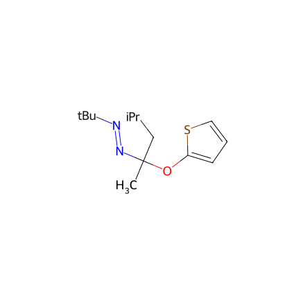 CC(C)CC(C)(N=NC(C)(C)C)Oc1cccs1